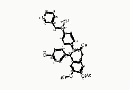 CCC(C)Oc1cc2c(cc1OC)CC(=O)N(c1ccc(N(C)Cc3cccnc3)cc1)C2c1ccc(Cl)cc1